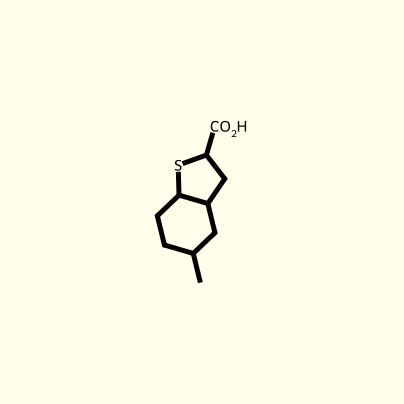 CC1CCC2SC(C(=O)O)CC2C1